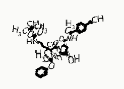 C#Cc1ccc(C(C)NC(=O)[C@@H]2C[C@@H](O)CN2C(=O)C(NC(=O)Oc2ccccc2)C(C)(C)CCNC(=O)OC(C)(C)C)cc1